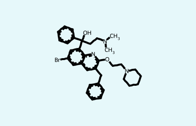 CN(C)CCC(O)(c1ccccc1)c1cc(Br)cc2cc(Cc3ccccc3)c(OCCN3CCCCC3)nc12